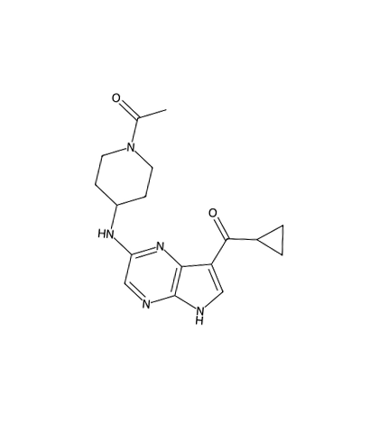 CC(=O)N1CCC(Nc2cnc3[nH]cc(C(=O)C4CC4)c3n2)CC1